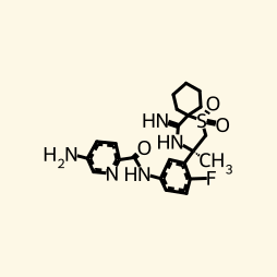 C[C@@]1(c2cc(NC(=O)c3ccc(N)cn3)ccc2F)CS(=O)(=O)C2(CCCCC2)C(=N)N1